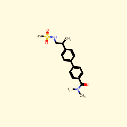 CC(CNS(=O)(=O)C(C)C)c1ccc(-c2ccc(C(=O)N(C)C)cc2)cc1